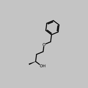 C[C@H](O)CCOCc1ccccc1